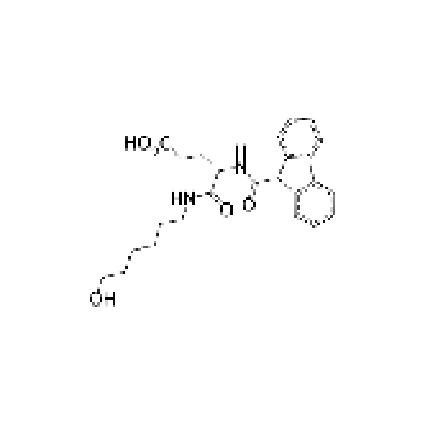 O=C(O)CC[C@H](NC(=O)C1c2ccccc2-c2ccccc21)C(=O)NCCCCCCO